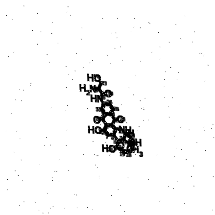 C[C@@H](O)[C@@]12O[C@]13c1cc(O)c4c(c1N[C@H]2C=C=CC#C[C@H]3O)C(=O)c1ccc(NC(=O)[C@@H](N)CO)cc1C4=O